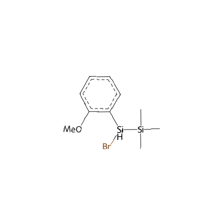 COc1ccccc1[SiH](Br)[Si](C)(C)C